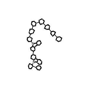 c1ccc(-c2ccc(-c3ccc(-c4cccc(-c5cccc(-c6ccc(-c7cccc(-n8c9ccccc9c9cc(-c%10ccc%11c(c%10)c%10ccccc%10n%11-c%10ccccc%10-c%10ccccc%10)ccc98)c7)cc6)c5)c4)cc3)cc2)cc1